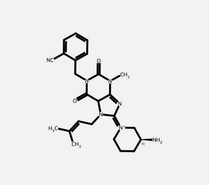 CC(C)=CCN1C(=[N+]2CCC[C@H](N)C2)N=C2C1C(=O)N(Cc1ccccc1C#N)C(=O)N2C